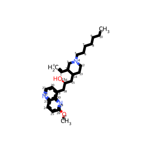 C=CC1CN(CCCCCCC)CCC1C[C@H](O)Cc1ccnc2ccc(OC)nc12